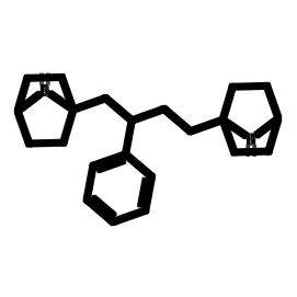 B1C2CCC1(CCC(CC13BC(CC1)CC3)c1ccccc1)CC2